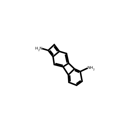 Nc1cc2cc3c(cc12)c1cccc(N)c13